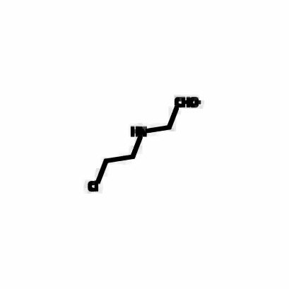 O=[C]CNCCCl